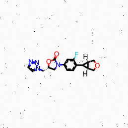 O=C1O[C@@H](Cn2ccnn2)CN1c1ccc(C2[C@H]3COC[C@@H]23)c(F)c1